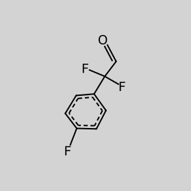 O=CC(F)(F)c1ccc(F)cc1